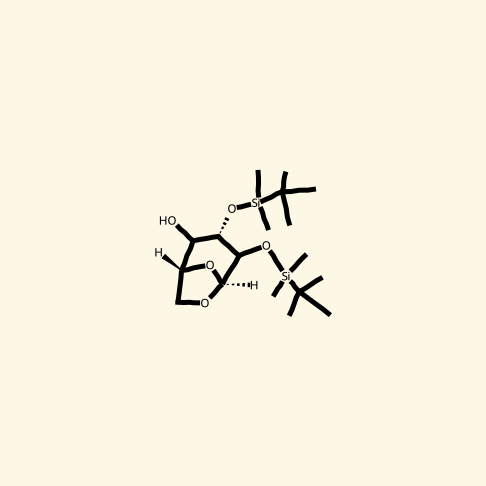 CC(C)(C)[Si](C)(C)OC1[C@H]2OC[C@@H](O2)C(O)[C@@H]1O[Si](C)(C)C(C)(C)C